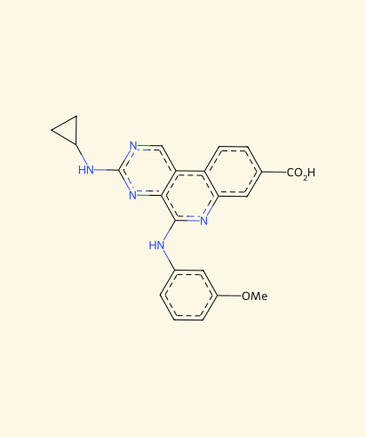 COc1cccc(Nc2nc3cc(C(=O)O)ccc3c3cnc(NC4CC4)nc23)c1